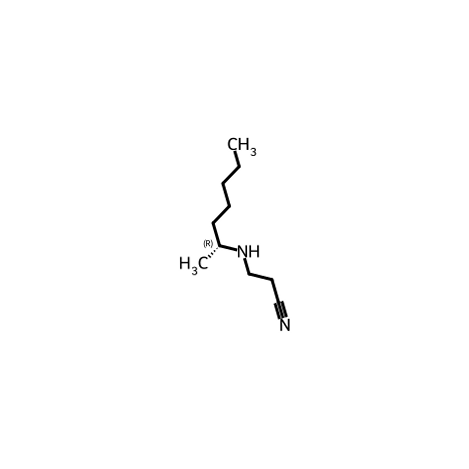 CCCCC[C@@H](C)NCCC#N